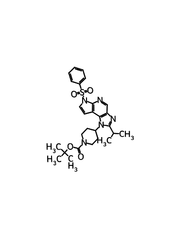 CC(C)c1nc2cnc3c(ccn3S(=O)(=O)c3ccccc3)c2n1C1CCN(C(=O)OC(C)(C)C)CC1